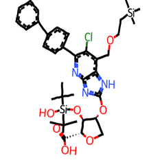 CC(C)(C)[Si](O)(O[C@@H]1[C@@H](C(=O)O)OC[C@H]1Oc1nc2nc(-c3ccc(-c4ccccc4)cc3)c(Cl)c(COCC[Si](C)(C)C)c2[nH]1)C(C)(C)C